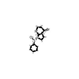 [O-][S+](c1ccccc1)n1ccc2c(Br)ccnc21